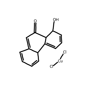 O=C1C=C2C=CC=CC2C2=CC=CC(O)C12.[Cl][Cu][Cl]